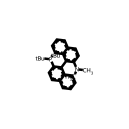 CN(C)c1ccc2ccccc2c1-c1c(P(C(C)(C)C)C(C)(C)C)ccc2ccccc12